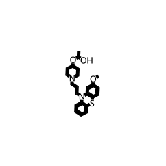 COc1ccc2c(c1)N(CCCN1CCC(OC(C)O)CC1)c1ccccc1S2